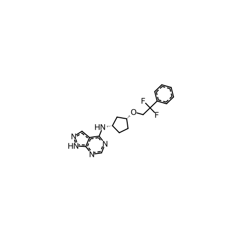 FC(F)(CO[C@@H]1CC[C@H](Nc2ncnc3[nH]ncc23)C1)c1ccccc1